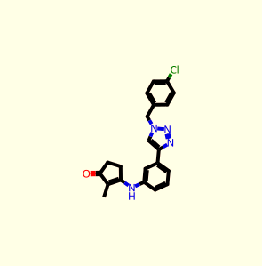 CC1=C(Nc2cccc(-c3cn(Cc4ccc(Cl)cc4)nn3)c2)CCC1=O